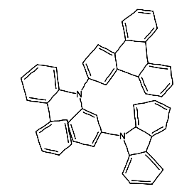 c1ccc(-c2ccccc2N(c2cccc(-n3c4ccccc4c4ccccc43)c2)c2ccc3c4ccccc4c4ccccc4c3c2)cc1